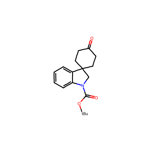 CC(C)(C)OC(=O)N1CC2(CCC(=O)CC2)c2ccccc21